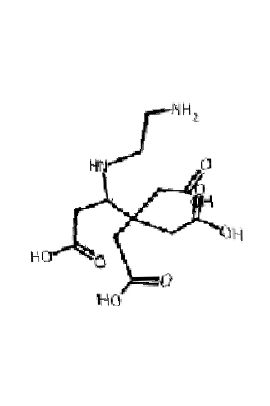 NCCN[C](CC(=O)O)C(CC(=O)O)(CC(=O)O)CC(=O)O